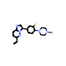 C=Cc1ccc2ncc(-c3ccc(N4CCN(CC)CC4)c(F)c3)n2n1